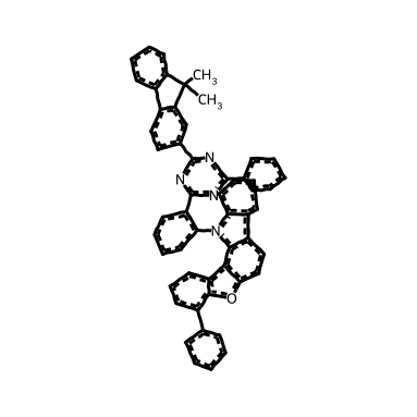 CC1(C)c2ccccc2-c2ccc(-c3nc(-c4ccccc4)nc(-c4ccccc4-n4c5ccccc5c5ccc6oc7c(-c8ccccc8)cccc7c6c54)n3)cc21